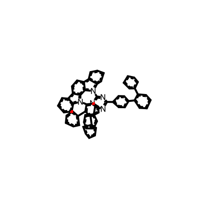 c1ccc(-c2nc(-c3ccc(-c4ccccc4-c4ccccc4)cc3)nc(-n3c4ccccc4c4ccc5c6ccccc6n(-c6cccc(-c7ccccc7)c6-c6ccccc6)c5c43)n2)cc1